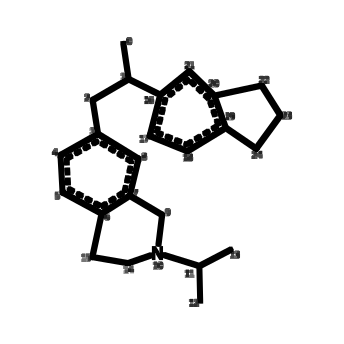 CC(Cc1ccc2c(c1)CN(C(C)C)CC2)c1ccc2c(c1)CCC2